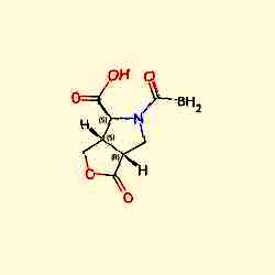 BC(=O)N1C[C@@H]2C(=O)OC[C@@H]2[C@H]1C(=O)O